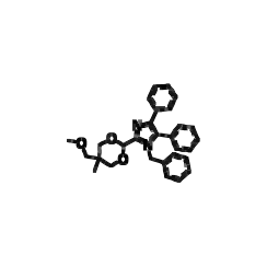 COCC1(C)COC(c2nc(-c3ccccc3)c(-c3ccccc3)n2Cc2ccccc2)OC1